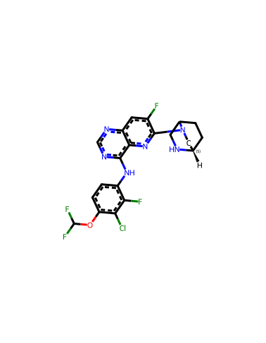 Fc1cc2ncnc(Nc3ccc(OC(F)F)c(Cl)c3F)c2nc1N1C[C@@H]2CCC1CN2